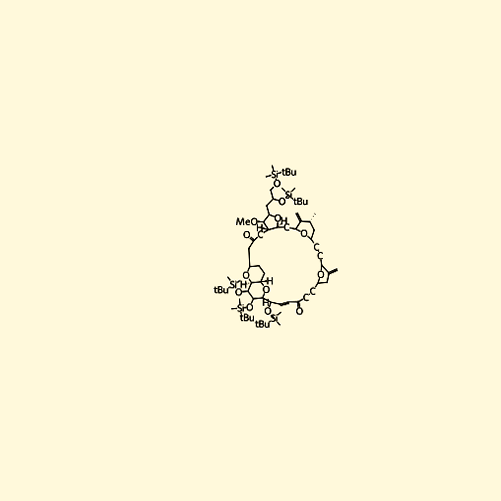 C=C1CC2CCC(=O)/C=C/C(O[Si](C)(C)C(C)(C)C)[C@@H]3O[C@H]4CCC(CC(=O)C[C@H]5[C@H](CC6OC(CCC1O2)C[C@@H](C)C6=C)OC(CC(CO[Si](C)(C)C(C)(C)C)O[Si](C)(C)C(C)(C)C)[C@@H]5OC)O[C@@H]4C(O[Si](C)(C)C(C)(C)C)C3O[Si](C)(C)C(C)(C)C